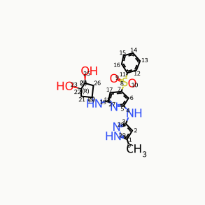 Cc1cc(Nc2cc(S(=O)(=O)c3ccccc3)cc(N[C@@H]3C[C@@H](O)[C@@H](O)C3)n2)n[nH]1